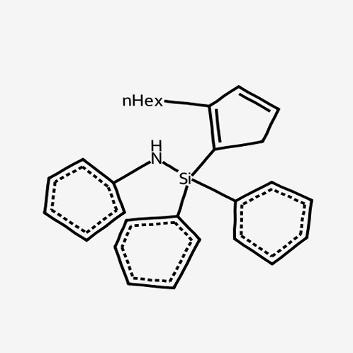 CCCCCCC1=C([Si](Nc2ccccc2)(c2ccccc2)c2ccccc2)CC=C1